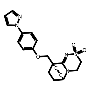 O=S1(=O)CCN2C(=N1)C1(COc3ccc(-n4cccn4)cc3)CCC2CC1